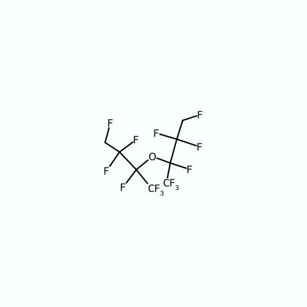 FCC(F)(F)C(F)(OC(F)(C(F)(F)F)C(F)(F)CF)C(F)(F)F